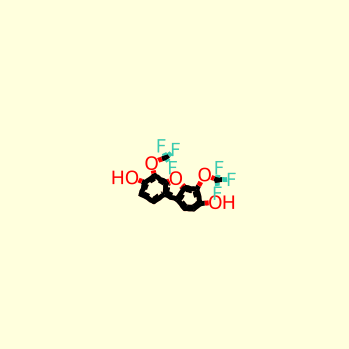 Oc1ccc2c(oc3c(OC(F)(F)F)c(O)ccc32)c1OC(F)(F)F